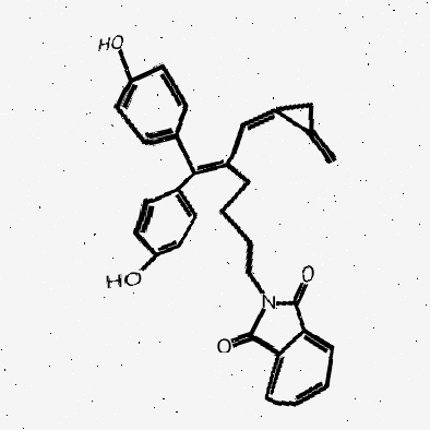 C=C1C/C1=C/C(CCCCN1C(=O)c2ccccc2C1=O)=C(c1ccc(O)cc1)c1ccc(O)cc1